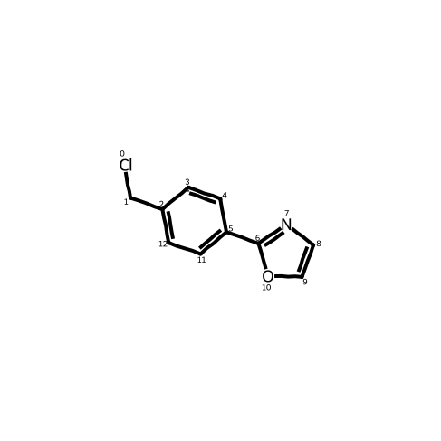 ClCc1[c]cc(-c2ncco2)cc1